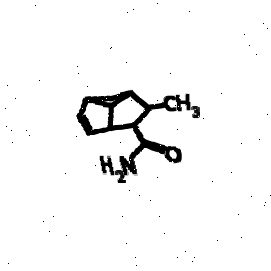 CC1C(C(N)=O)C2C=CC3C1C23